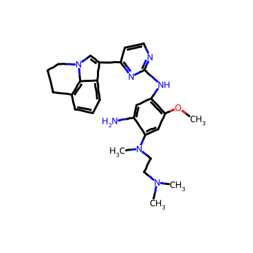 COc1cc(N(C)CCN(C)C)c(N)cc1Nc1nccc(-c2cn3c4c(cccc24)CCC3)n1